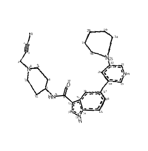 CC#CCN1CCC(NC(=O)c2n[nH]c3ccc(-c4cncc(N5CCCCC5)c4)cc23)CC1